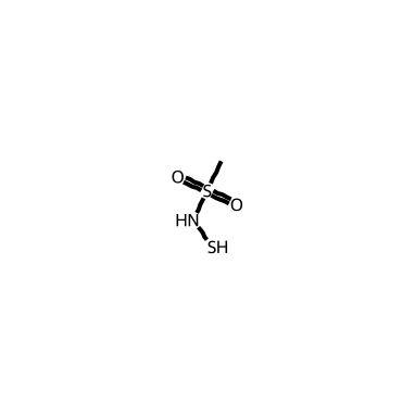 CS(=O)(=O)NS